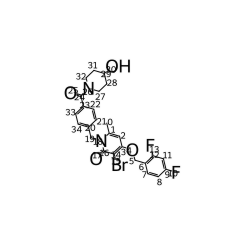 Cc1cc(OCc2ccc(F)cc2F)c(Br)c(=O)n1Cc1ccc(C(=O)N2CCC(O)CC2)cc1